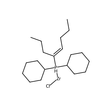 CCCC=C(CCC)[PH]([Zr][Cl])(C1CCCCC1)C1CCCCC1